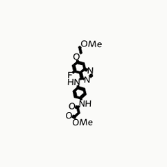 COCCOc1cc(F)c2c(Nc3ccc(NC(=O)CC(=O)OC)cc3)ncnc2c1